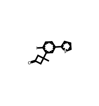 CC1(c2cc(-c3cccs3)ccc2I)CC(=O)C1